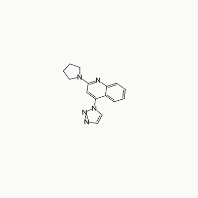 c1ccc2c(-n3ccnn3)cc(N3CCCC3)nc2c1